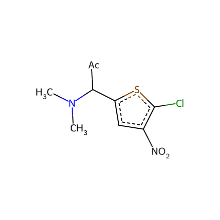 CC(=O)C(c1cc([N+](=O)[O-])c(Cl)s1)N(C)C